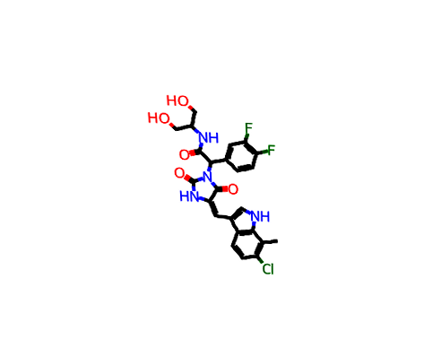 Cc1c(Cl)ccc2c(C=C3NC(=O)N(C(C(=O)NC(CO)CO)c4ccc(F)c(F)c4)C3=O)c[nH]c12